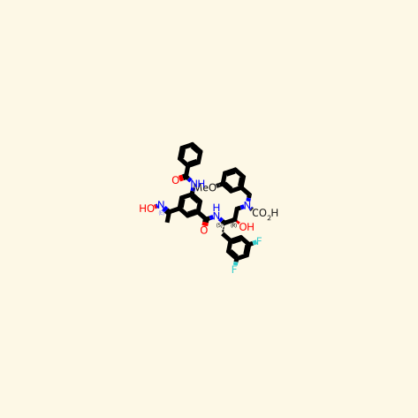 COc1cccc(CN(C[C@@H](O)[C@H](Cc2cc(F)cc(F)c2)NC(=O)c2cc(NC(=O)c3ccccc3)cc(/C(C)=N/O)c2)C(=O)O)c1